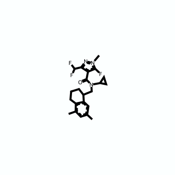 Cc1cc(C)c2c(c1)C(CN(C(=O)c1c(C(F)F)nn(C)c1F)C1CC1)CCC2